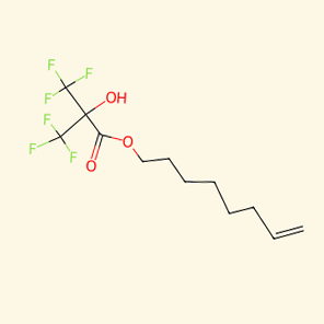 C=CCCCCCCOC(=O)C(O)(C(F)(F)F)C(F)(F)F